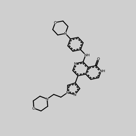 O=c1[nH]ccc2c(-c3cnn(CCN4CCOCC4)c3)cnc(Nc3ccc(N4CCOCC4)cc3)c12